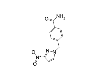 NC(=O)c1ccc(Cn2ccc([N+](=O)[O-])n2)cc1